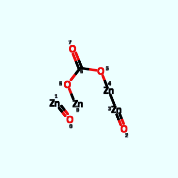 [O]=[Zn].[O]=[Zn][Zn][O]C(=O)[O][Zn]